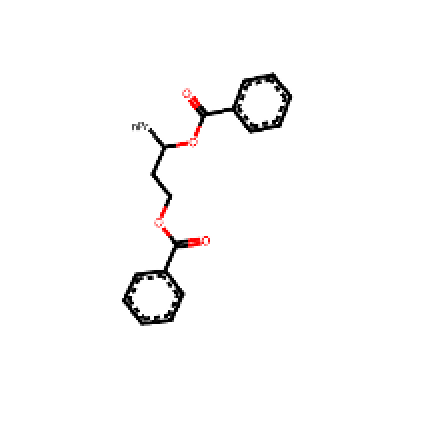 [CH2]CCC(CCOC(=O)c1ccccc1)OC(=O)c1ccccc1